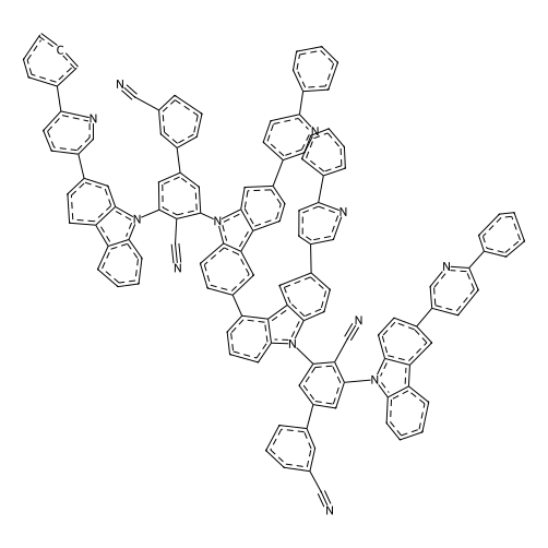 N#Cc1cccc(-c2cc(-n3c4ccccc4c4ccc(-c5ccc(-c6ccccc6)nc5)cc43)c(C#N)c(-n3c4ccc(-c5cccc6c5c5cc(-c7ccc(-c8ccccc8)nc7)ccc5n6-c5cc(-c6cccc(C#N)c6)cc(-n6c7ccccc7c7cc(-c8ccc(-c9ccccc9)nc8)ccc76)c5C#N)cc4c4ccc(-c5ccc(-c6ccccc6)nc5)cc43)c2)c1